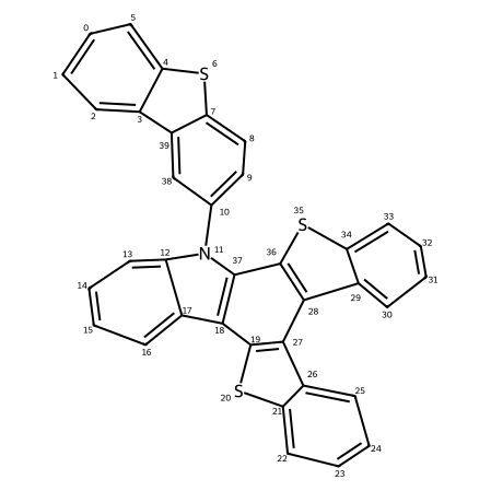 c1ccc2c(c1)sc1ccc(-n3c4ccccc4c4c5sc6ccccc6c5c5c6ccccc6sc5c43)cc12